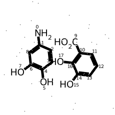 Nc1ccc(O)c(O)c1.O=C(O)c1cccc(O)c1O